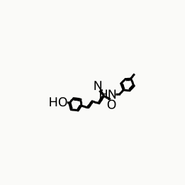 Cc1ccc(CNC(=O)/C(C#N)=C/C=C/c2ccc(O)cc2)cc1